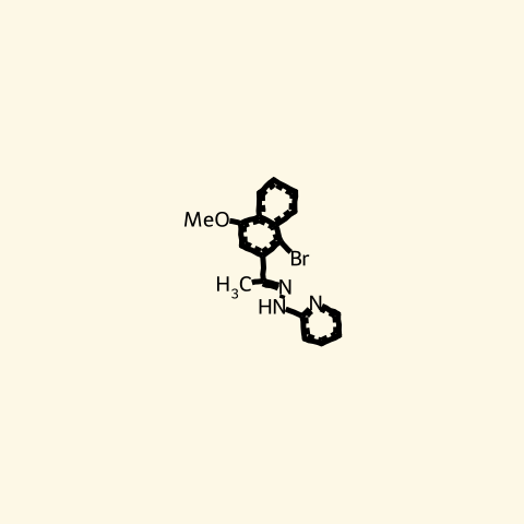 COc1cc(C(C)=NNc2ccccn2)c(Br)c2ccccc12